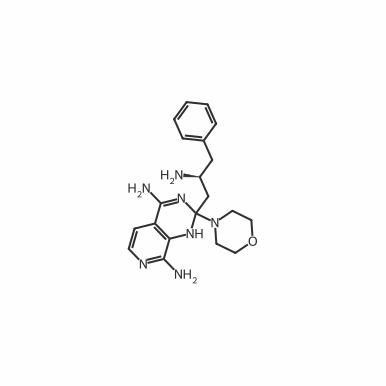 NC1=NC(C[C@@H](N)Cc2ccccc2)(N2CCOCC2)Nc2c1ccnc2N